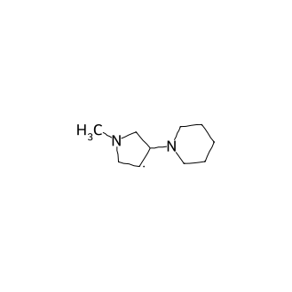 CN1C[CH]C(N2CCCCC2)C1